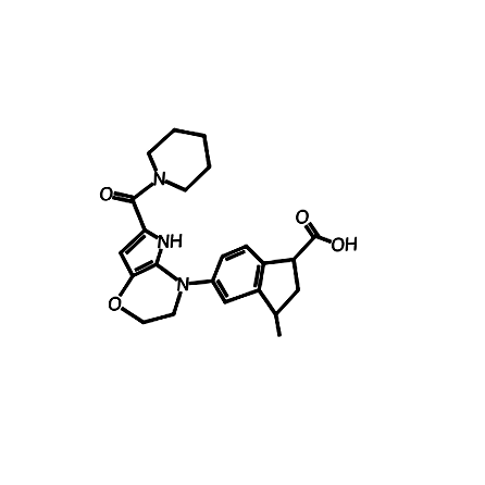 CC1CC(C(=O)O)c2ccc(N3CCOc4cc(C(=O)N5CCCCC5)[nH]c43)cc21